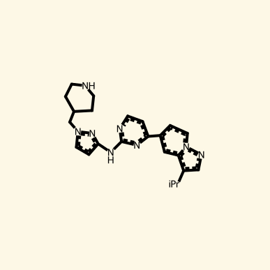 CC(C)c1cnn2ccc(-c3ccnc(Nc4ccn(CC5CCNCC5)n4)n3)cc12